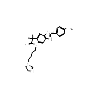 COc1ccc(-c2nc3cc4c(cc3[nH]2)C(C)(C)C(=O)N4CCCCN2C=NCC2)cc1